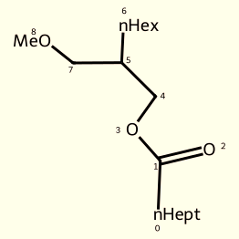 CCCCCCCC(=O)OCC(CCCCCC)COC